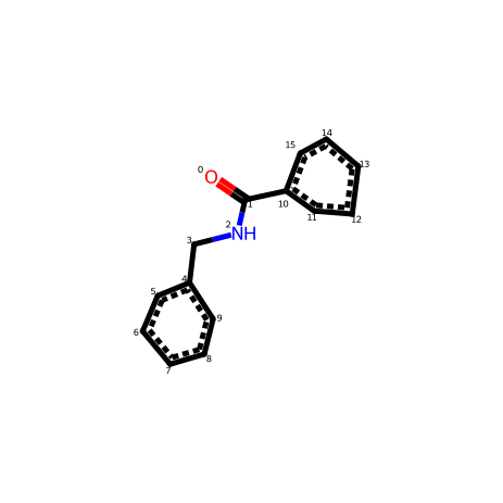 O=C(N[CH]c1ccccc1)c1ccccc1